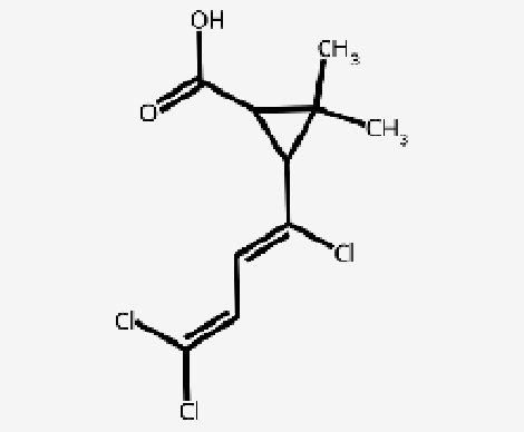 CC1(C)C(C(=O)O)C1C(Cl)=CC=C(Cl)Cl